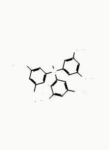 CCCCCCCc1cc(CCCCCCC)cc([Si](O)(c2cc(CCCCCCC)cc(CCCCCCC)c2)c2cc(CCCCCCC)cc(CCCCCCC)c2)c1